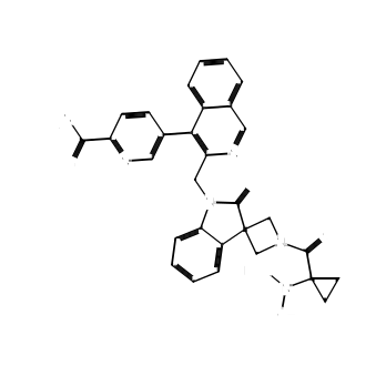 CN(C)C1(C(=O)N2CC3(C2)C(=O)N(Cc2ncc4ccccc4c2-c2ccc(C(N)=O)nc2)c2ccccc23)CC1